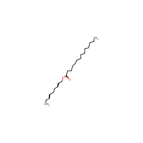 CCC=CCCC=CCOC(=O)CCCCCCCCCCCCC